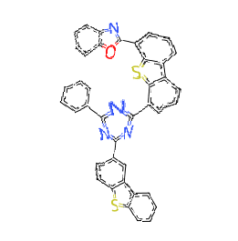 c1ccc(-c2nc(-c3ccc4sc5ccccc5c4c3)nc(-c3cccc4c3sc3c(-c5nc6ccccc6o5)cccc34)n2)cc1